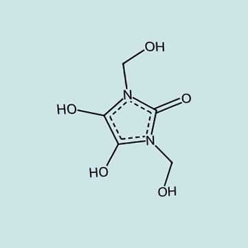 O=c1n(CO)c(O)c(O)n1CO